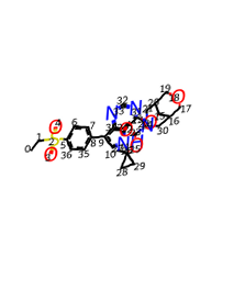 CCS(=O)(=O)c1ccc(-c2c[nH]c3c(OC4C5COCC4CN(C(=O)OC4(C)CC4)C5)ncnc23)cc1